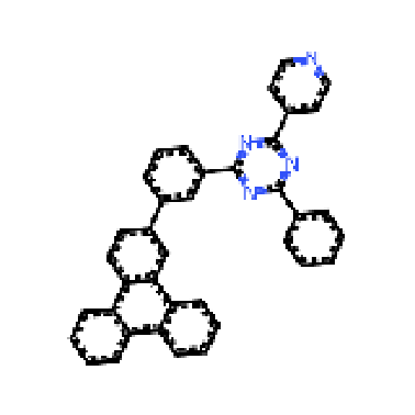 c1ccc(-c2nc(-c3ccncc3)nc(-c3cccc(-c4ccc5c6ccccc6c6ccccc6c5c4)c3)n2)cc1